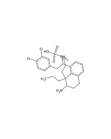 CCCC1(CCC)c2c(cccc2C(Cc2ccc(Cl)c(Cl)c2)NS(=O)(=O)O)CCC1N